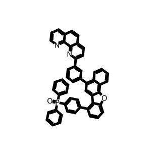 O=P(c1ccccc1)(c1ccccc1)c1ccc(-c2cccc3oc4c5ccccc5c(-c5cccc(-c6ccc7ccc8cccnc8c7n6)c5)cc4c23)cc1